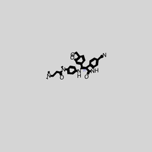 CN(C)CCC(=O)N(C)c1ccc(N/C(=C2\C(=O)Nc3cc(C#N)ccc32)c2ccc3c(c2)OOC3)cc1